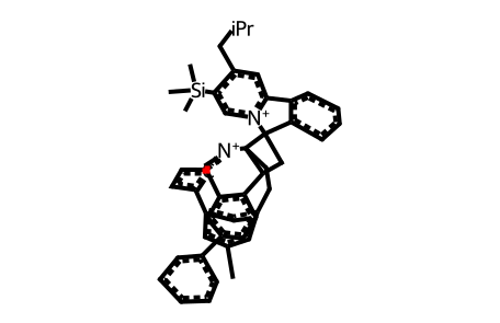 Cc1cc2cc(c1)-c1ccc3[n+](c1)C1(CC2)C(CC12c1ccccc1-c1cc(CC(C)C)c([Si](C)(C)C)c[n+]12)c1ccc(-c2ccccc2)cc1-3